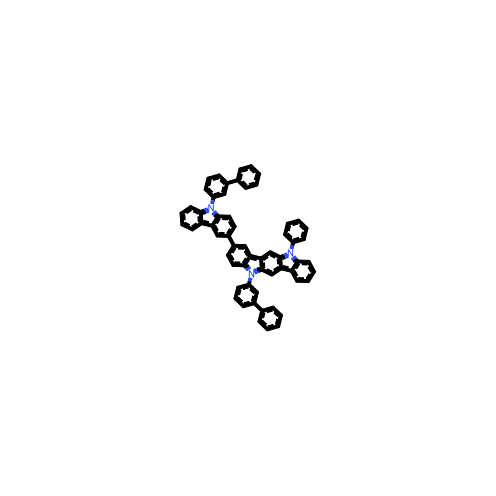 c1ccc(-c2cccc(-n3c4ccccc4c4cc(-c5ccc6c(c5)c5cc7c(cc5n6-c5cccc(-c6ccccc6)c5)c5ccccc5n7-c5ccccc5)ccc43)c2)cc1